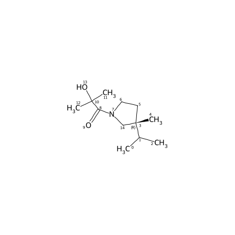 CC(C)[C@@]1(C)CCN(C(=O)C(C)(C)O)C1